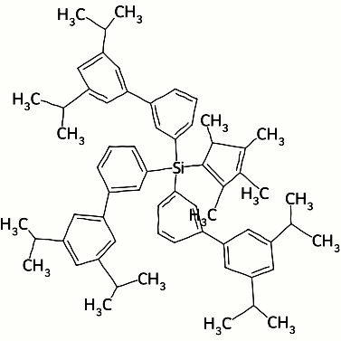 CC1=C(C)C(C)C([Si](c2cccc(-c3cc(C(C)C)cc(C(C)C)c3)c2)(c2cccc(-c3cc(C(C)C)cc(C(C)C)c3)c2)c2cccc(-c3cc(C(C)C)cc(C(C)C)c3)c2)=C1C